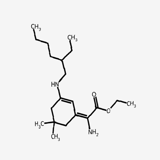 CCCCC(CC)CNC1=C/C(=C(/N)C(=O)OCC)CC(C)(C)C1